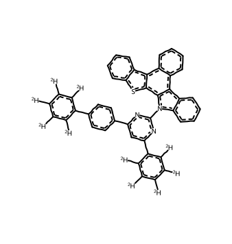 [2H]c1c([2H])c([2H])c(-c2ccc(-c3cc(-c4c([2H])c([2H])c([2H])c([2H])c4[2H])nc(-n4c5ccccc5c5c6ccccc6c6c7ccccc7sc6c54)n3)cc2)c([2H])c1[2H]